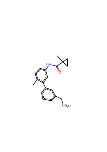 Cc1ccc(NC(=O)C2(C)CC2)cc1-c1cccc(CC(=O)O)c1